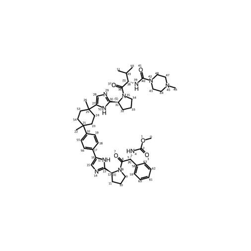 COC(=O)N[C@@H](C(=O)N1CCC[C@H]1c1ncc(-c2ccc(C3(C)CCC(C)(c4cnc([C@@H]5CCCN5C(=O)[C@@H](NC(=O)N5CCN(C)CC5)C(C)C)[nH]4)CC3)cc2)[nH]1)c1ccccc1